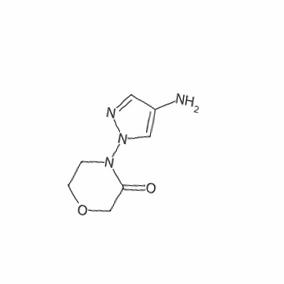 Nc1cnn(N2CCOCC2=O)c1